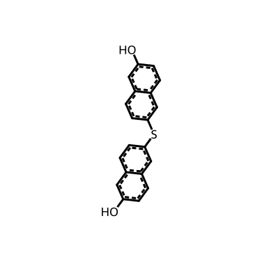 Oc1ccc2cc(Sc3ccc4cc(O)ccc4c3)ccc2c1